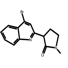 CN1CCC(c2cc(Br)c3ccccc3n2)C1=O